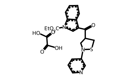 CCOC(=O)n1cc(C(=O)C2CSN(c3cccnc3)C2)c2ccccc21.O=C(O)C(=O)O